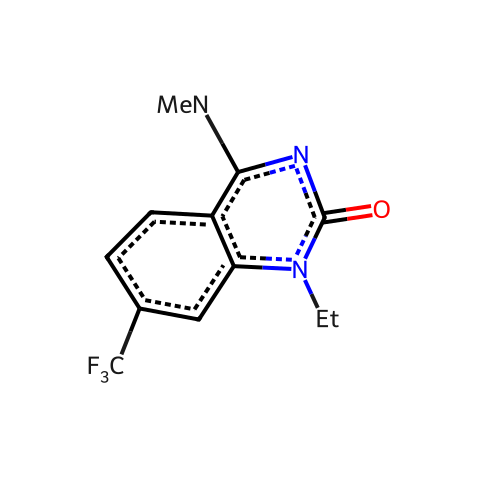 CCn1c(=O)nc(NC)c2ccc(C(F)(F)F)cc21